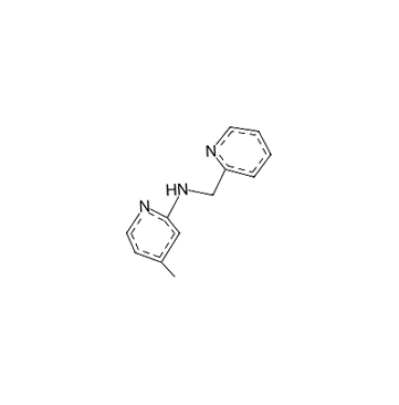 Cc1ccnc(NCc2ccccn2)c1